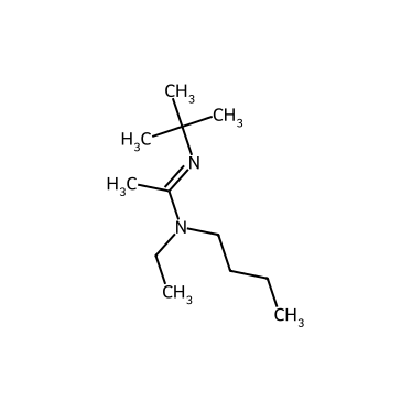 CCCCN(CC)/C(C)=N/C(C)(C)C